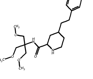 COCC(COC)(COC)NC(=O)C1CC(CCc2ccccc2)CCN1